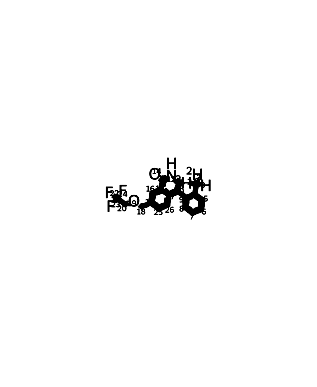 [2H]C([2H])([2H])c1ccccc1-c1c[nH]c(=O)c2cc(COCC(F)(F)F)ccc12